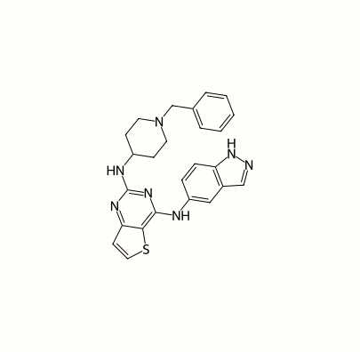 c1ccc(CN2CCC(Nc3nc(Nc4ccc5[nH]ncc5c4)c4sccc4n3)CC2)cc1